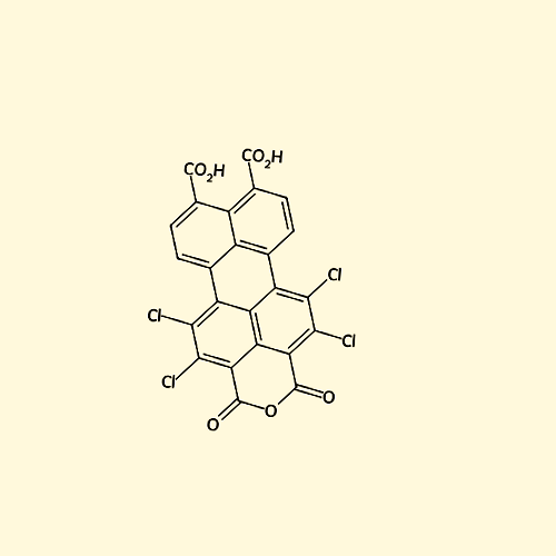 O=C(O)c1ccc2c3c(Cl)c(Cl)c4c5c(c(Cl)c(Cl)c(c6ccc(C(=O)O)c1c26)c53)C(=O)OC4=O